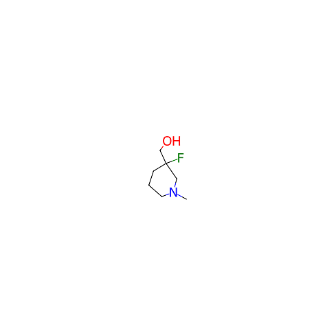 CN1CCCC(F)(CO)C1